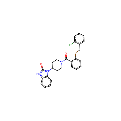 O=C(c1ccccc1SCc1ccccc1F)N1CCC(n2c(=O)[nH]c3ccccc32)CC1